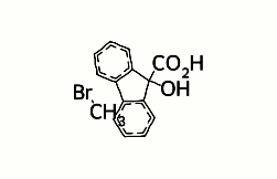 CBr.O=C(O)C1(O)c2ccccc2-c2ccccc21